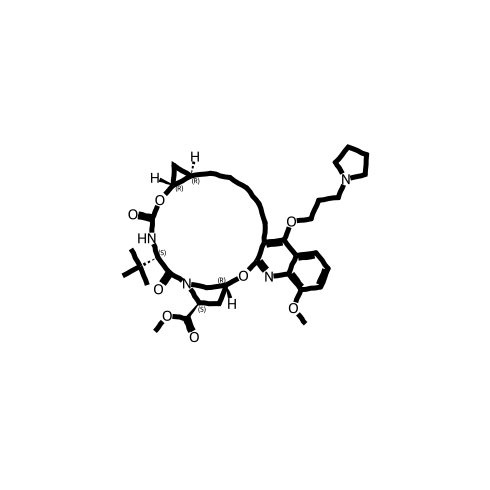 COC(=O)[C@@H]1C[C@@H]2CN1C(=O)[C@H](C(C)(C)C)NC(=O)O[C@@H]1C[C@H]1CCCCCc1c(nc3c(OC)cccc3c1OCCCN1CCCC1)O2